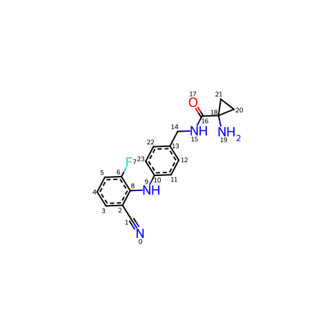 N#Cc1cccc(F)c1Nc1ccc(CNC(=O)C2(N)CC2)cc1